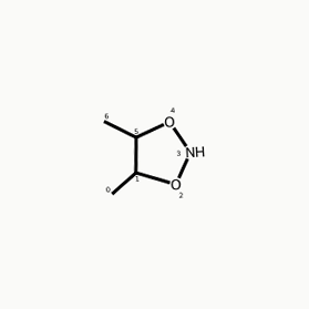 CC1ONOC1C